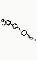 C/C=C/[C@H]1CC[C@H](CCc2cnc(-c3ccc(Cl)c(Cl)c3)nc2)CC1